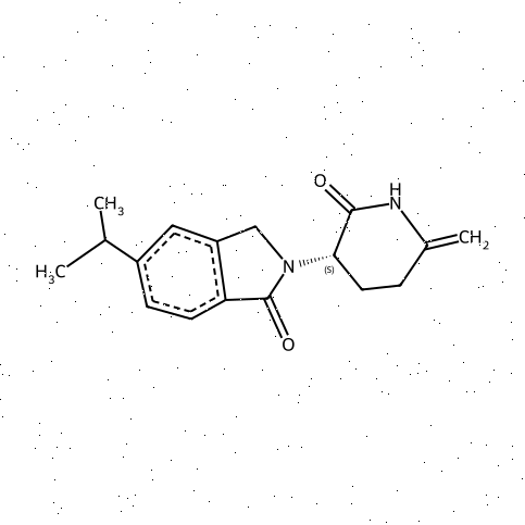 C=C1CC[C@H](N2Cc3cc(C(C)C)ccc3C2=O)C(=O)N1